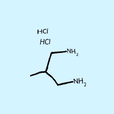 CC(CN)CN.Cl.Cl